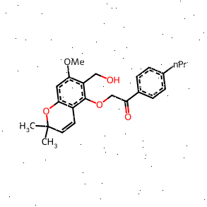 CCCc1ccc(C(=O)COc2c3c(cc(OC)c2CO)OC(C)(C)C=C3)cc1